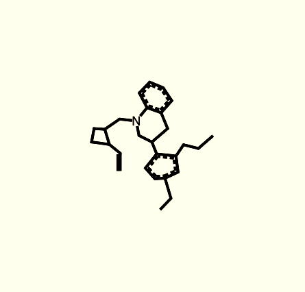 C=CC1CCC1CN1CC(c2ccc(CC)cc2CCC)Cc2ccccc21